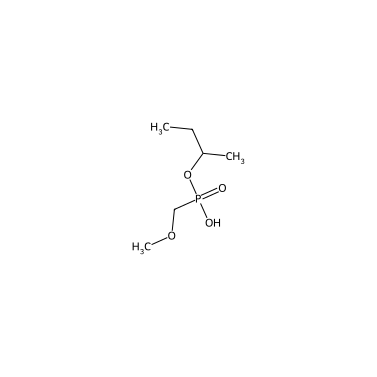 CCC(C)OP(=O)(O)COC